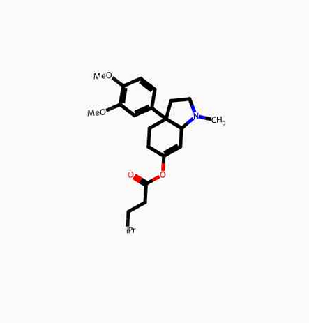 COc1ccc(C23CCC(OC(=O)CCC(C)C)=CC2N(C)CC3)cc1OC